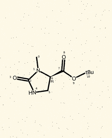 CN1C(=O)NC[C@@H]1C(=O)OC(C)(C)C